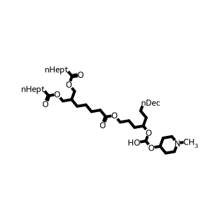 CCCCCCCCCCCCC(CCCOC(=O)CCCCC(COC(=O)CCCCCCC)COC(=O)CCCCCCC)OC(O)OC1CCN(C)CC1